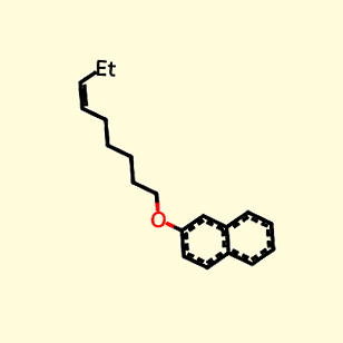 CC/C=C\CCCCCOc1ccc2ccccc2c1